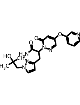 CC(C)(O)Cn1ccc(CC(C(N)=O)n2ncc(Oc3cccnc3)cc2=O)n1